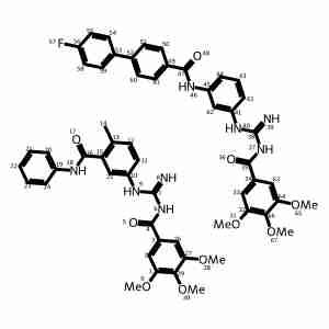 COc1cc(C(=O)NC(=N)Nc2ccc(C)c(C(=O)Nc3ccccc3)c2)cc(OC)c1OC.COc1cc(C(=O)NC(=N)Nc2cccc(NC(=O)c3ccc(-c4ccc(F)cc4)cc3)c2)cc(OC)c1OC